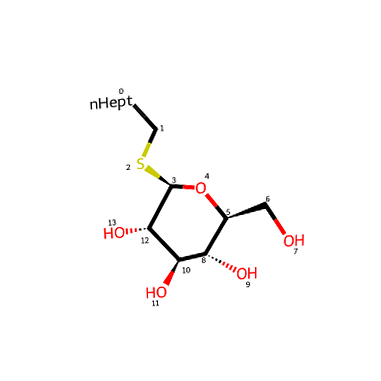 CCCCCCCCS[C@H]1O[C@@H](CO)[C@H](O)[C@@H](O)[C@@H]1O